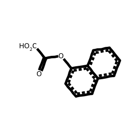 O=C(O)C(=O)Oc1cccc2ccccc12